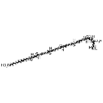 CCCCNC(=O)CC[C@H](NC(=O)CC[C@H](NC(=O)COCCOCCNC(=O)COCCOCCNC(=O)COCCOCCNC(=O)COCCOCCNC(=O)CCCNC(=O)CCCCCCCCCCCCCCCCC(=O)O)C(=O)O)C(=O)O